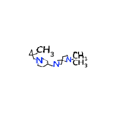 CCC1(CN2CCC(CN3CC4(CCN(C(C)C)C4)C3)CC2)CC1